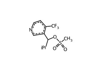 CC(C)C(OS(C)(=O)=O)c1cnccc1C(F)(F)F